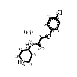 Cl.O=C(COc1ccc(Cl)cc1)NC1CCNCC1